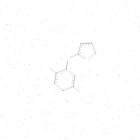 FC(F)(F)c1ccc(C(F)(F)F)c(Oc2cc[c]s2)c1